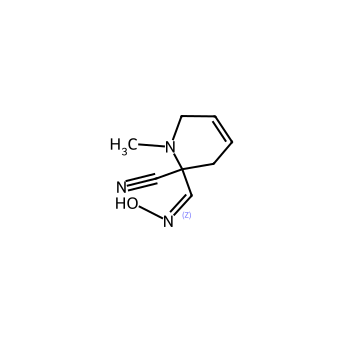 CN1CC=CCC1(C#N)/C=N\O